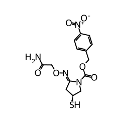 NC(=O)CO/N=C1\C[C@H](S)CN1C(=O)OCc1ccc([N+](=O)[O-])cc1